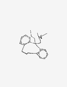 CCCC1(CN(C)C)c2ccccc2CCc2ccccc21